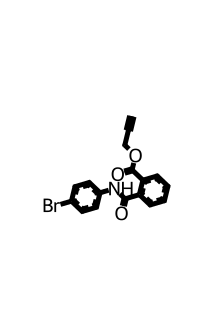 C#CCOC(=O)c1ccccc1C(=O)Nc1ccc(Br)cc1